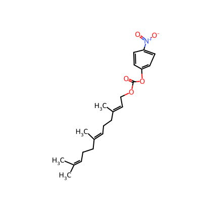 CC(C)=CCC/C(C)=C/CC/C(C)=C/COC(=O)Oc1ccc([N+](=O)[O-])cc1